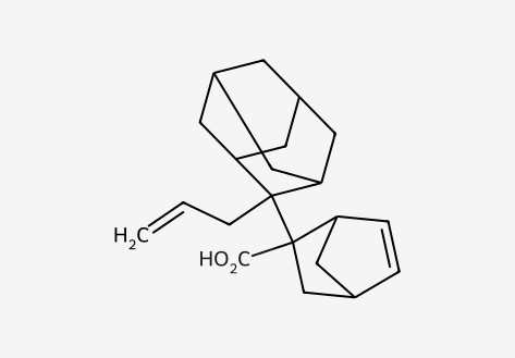 C=CCC1(C2(C(=O)O)CC3C=CC2C3)C2CC3CC(C2)CC1C3